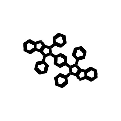 c1ccc(N2B(c3cnc(B4N(c5ccccc5)c5sc6ccccc6c5N4c4ccccc4)cn3)N(c3ccccc3)c3c2sc2ccccc32)cc1